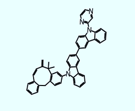 C=C1/C=C\c2ccccc2Cc2ccc(-n3c4ccccc4c4cc(-c5ccc6c(c5)c5ccccc5n6-c5cnccn5)ccc43)cc2C1(C)C